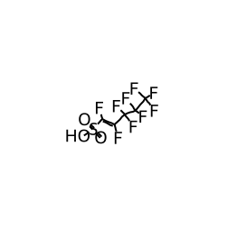 O=S(=O)(O)C(F)=C(F)C(F)(F)C(F)(F)C(F)(F)F